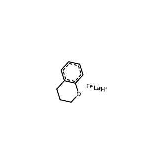 [Fe].[H+].[La].c1ccc2c(c1)CCCO2